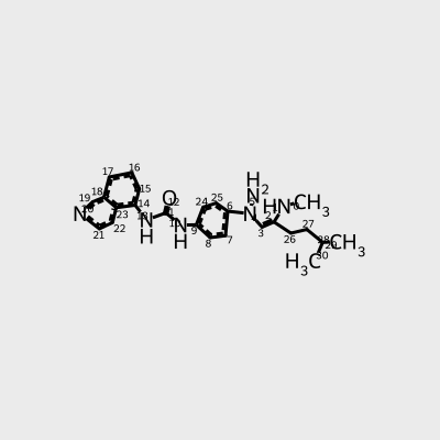 CN/C(=C\N(N)c1ccc(NC(=O)Nc2cccc3cnccc23)cc1)CCC(C)C